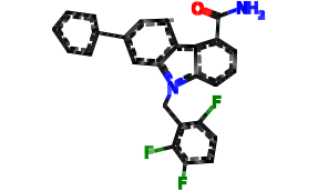 NC(=O)c1cccc2c1c1[c]cc(-c3ccccc3)cc1n2Cc1c(F)ccc(F)c1F